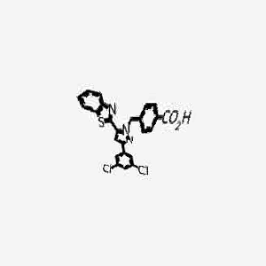 O=C(O)c1ccc(Cn2nc(-c3cc(Cl)cc(Cl)c3)cc2-c2nc3ccccc3s2)cc1